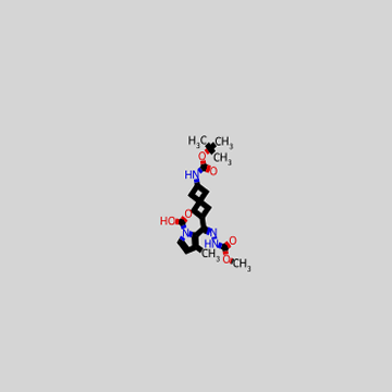 COC(=O)NN=C(c1c(C)ccn1C(=O)O)C1CC2(CC(NC(=O)OC(C)(C)C)C2)C1